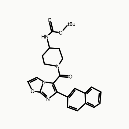 CC(C)(C)OC(=O)NC1CCN(C(=O)c2c(-c3ccc4ccccc4c3)nc3occn23)CC1